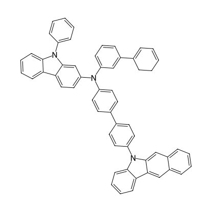 C1=CCCC(c2cccc(N(c3ccc(-c4ccc(-n5c6ccccc6c6cc7ccccc7cc65)cc4)cc3)c3ccc4c5ccccc5n(-c5ccccc5)c4c3)c2)=C1